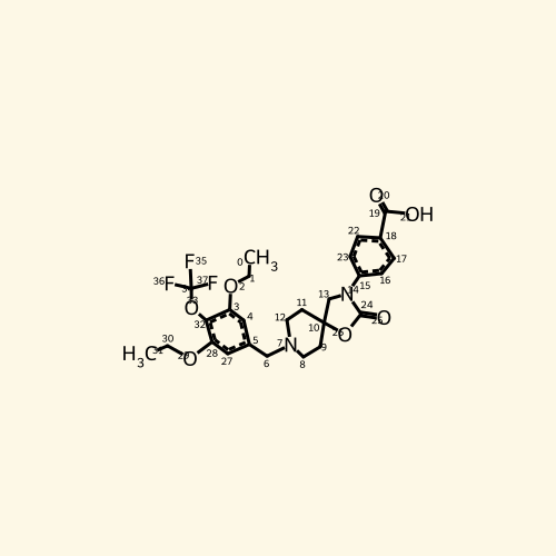 CCOc1cc(CN2CCC3(CC2)CN(c2ccc(C(=O)O)cc2)C(=O)O3)cc(OCC)c1OC(F)(F)F